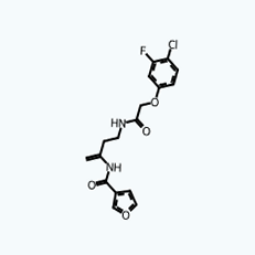 C=C(CCNC(=O)COc1ccc(Cl)c(F)c1)NC(=O)c1ccoc1